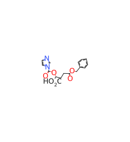 O=C(CC[C@H](OC(=O)n1ccnc1)C(=O)O)OCc1ccccc1